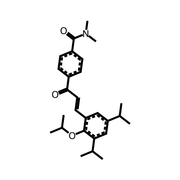 CC(C)Oc1c(C=CC(=O)c2ccc(C(=O)N(C)C)cc2)cc(C(C)C)cc1C(C)C